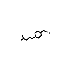 CC(C)CCCC1CCC(CN)CC1